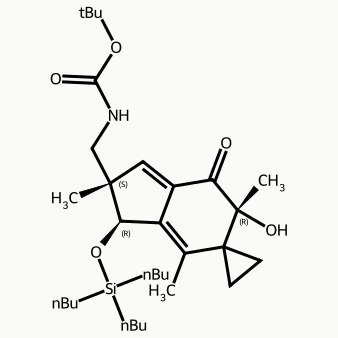 CCCC[Si](CCCC)(CCCC)O[C@@H]1C2=C(C)C3(CC3)[C@@](C)(O)C(=O)C2=C[C@@]1(C)CNC(=O)OC(C)(C)C